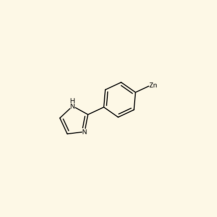 [Zn][c]1ccc(-c2ncc[nH]2)cc1